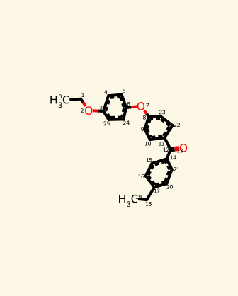 CCOc1ccc(Oc2ccc(C(=O)c3ccc(CC)cc3)cc2)cc1